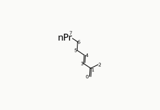 C=C(C)C=CCCCCC